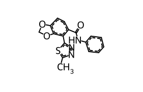 Cc1nnc(-c2c(C(=O)Nc3ccccc3)ccc3c2OCO3)s1